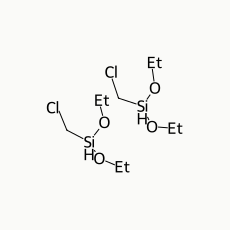 CCO[SiH](CCl)OCC.CCO[SiH](CCl)OCC